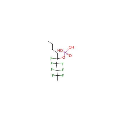 CCCCC(F)(OP(=O)(O)O)C(F)(F)C(F)(F)C(C)(F)F